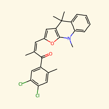 C/C(=C/c1cc2c(o1)N(C)c1ccccc1C2(C)C)C(=O)c1cc(Cl)c(Cl)cc1C